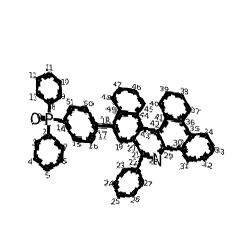 O=P(c1ccccc1)(c1ccccc1)c1ccc(-c2cc3c(-c4ccccc4)nc4c5ccccc5c5ccccc5c4c3c3ccccc23)cc1